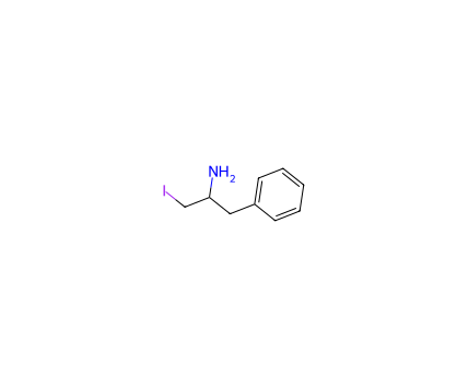 NC(CI)Cc1ccccc1